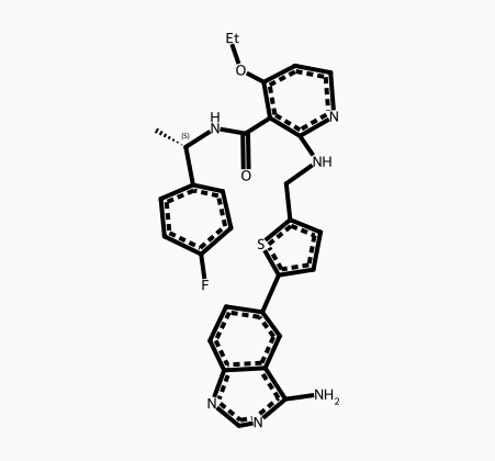 CCOc1ccnc(NCc2ccc(-c3ccc4ncnc(N)c4c3)s2)c1C(=O)N[C@@H](C)c1ccc(F)cc1